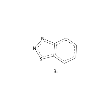 [B].c1ccc2snnc2c1